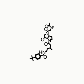 CC(=O)N(C)CC(=O)N1CC(=O)C2C1CCN2C(=O)CC(C)CCNC(=O)c1ccc(C(C)(C)C)cc1